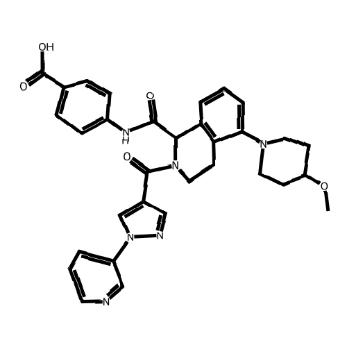 COC1CCN(c2cccc3c2CCN(C(=O)c2cnn(-c4cccnc4)c2)C3C(=O)Nc2ccc(C(=O)O)cc2)CC1